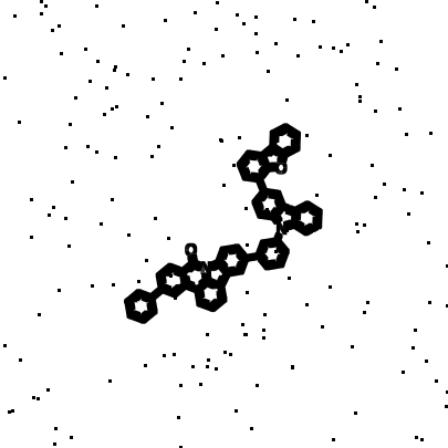 O=c1c2ccc(-c3ccccc3)cc2c2cccc3c4cc(-c5cccc(-n6c7ccccc7c7cc(-c8cccc9c8oc8ccccc89)ccc76)c5)ccc4n1c23